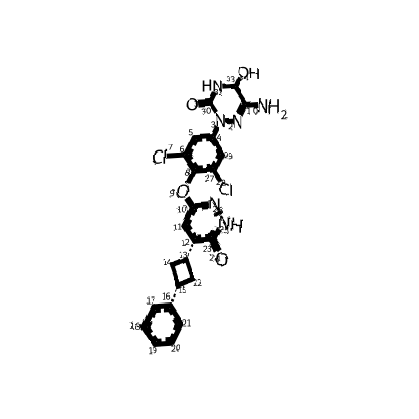 NC1=NN(c2cc(Cl)c(Oc3cc([C@H]4C[C@@H](c5ccccc5)C4)c(=O)[nH]n3)c(Cl)c2)C(=O)NC1O